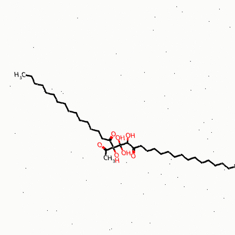 CCCCCCCCCCCCCCCC(=O)C(O)C(O)(O)C(O)(C(C)=O)C(=O)CCCCCCCCCCCCCCC